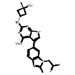 COc1nc(N[C@H]2C[C@@](C)(O)C2)nc2[nH]cc(-c3ccc4nc(C)n(CC(F)F)c4c3)c12